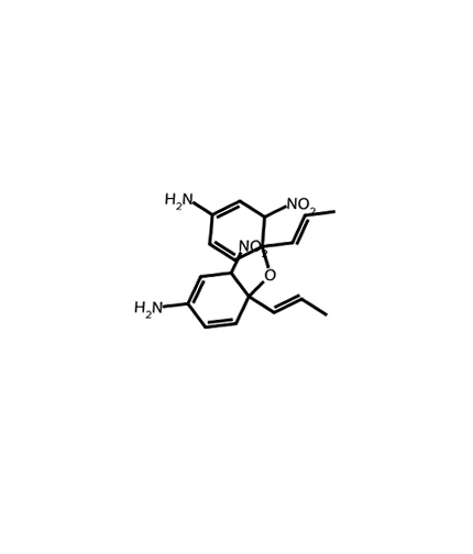 CC=CC1(OC2(C=CC)C=CC(N)=CC2[N+](=O)[O-])C=CC(N)=CC1[N+](=O)[O-]